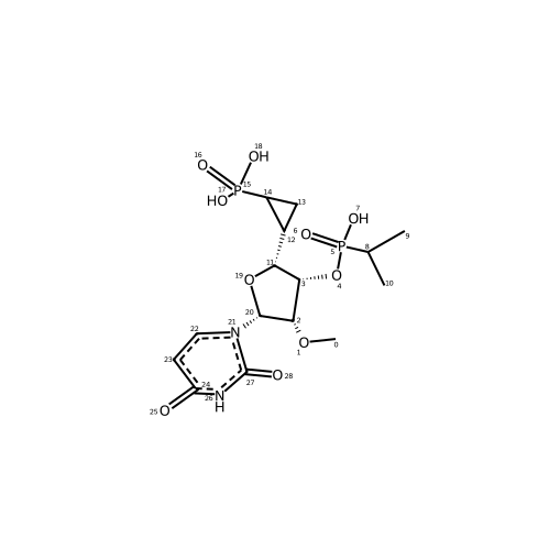 CO[C@H]1[C@@H](OP(=O)(O)C(C)C)[C@@H](C2CC2P(=O)(O)O)O[C@H]1n1ccc(=O)[nH]c1=O